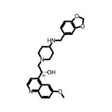 COc1ccc2nccc([C@@H](O)CN3CCC(NCc4ccc5c(c4)OCO5)CC3)c2c1